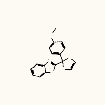 COc1ccc(C2(c3nc4ccccc4o3)SC=CS2)cc1